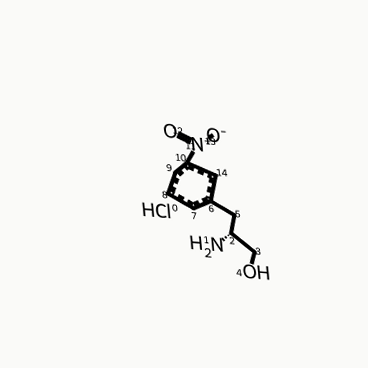 Cl.N[C@@H](CO)Cc1cccc([N+](=O)[O-])c1